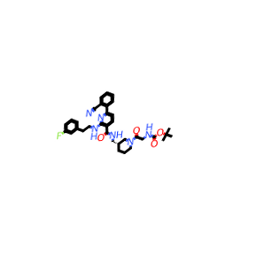 CC(C)(C)OC(=O)NCC(=O)N1CCC[C@H](CNC(=O)c2ccc(-c3ccccc3C#N)nc2NCCc2cccc(F)c2)C1